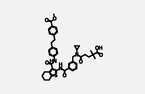 COC(=O)c1ccc(CCc2ccc(NC(=O)c3c(NC(=O)c4cccc(CN(C(=O)CCC(C)(C)C(=O)O)C5CC5)c4)sc4c3CCCC4)cc2)cc1